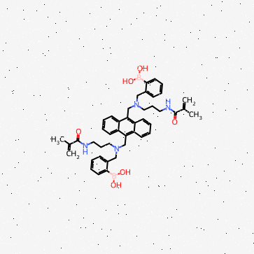 C=C(C)C(=O)NCCCN(Cc1ccccc1B(O)O)Cc1c2ccccc2c(CN(CCCNC(=O)C(=C)C)Cc2ccccc2B(O)O)c2ccccc12